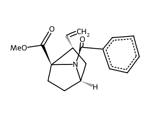 C=C[C@@H]1C[C@H]2CC[C@@]1(C(=O)OC)N2C(=O)c1ccccc1